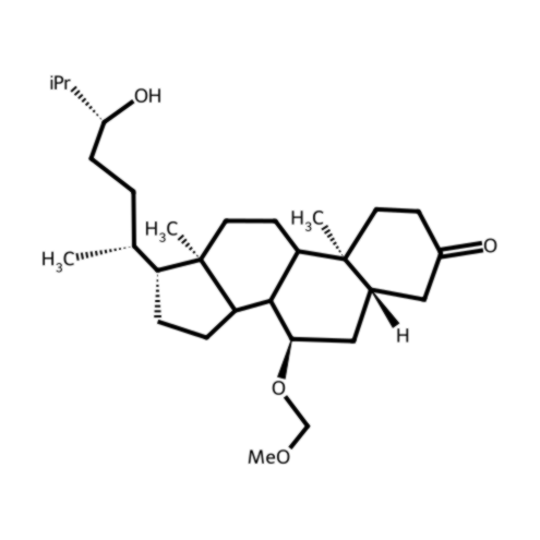 COCO[C@@H]1C[C@H]2CC(=O)CC[C@]2(C)C2CC[C@@]3(C)C(CC[C@@H]3[C@H](C)CC[C@@H](O)C(C)C)C21